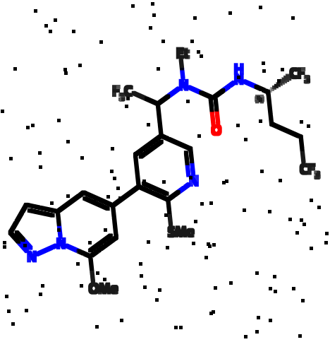 CCN(C(=O)N[C@@H](CCC(F)(F)F)C(F)(F)F)C(c1cnc(SC)c(-c2cc(OC)n3nccc3c2)c1)C(F)(F)F